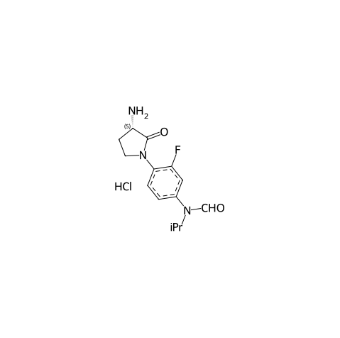 CC(C)N(C=O)c1ccc(N2CC[C@H](N)C2=O)c(F)c1.Cl